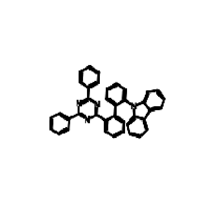 c1ccc(-c2nc(-c3ccccc3)nc(-c3ccccc3-c3ccccc3-n3c4ccccc4c4ccccc43)n2)cc1